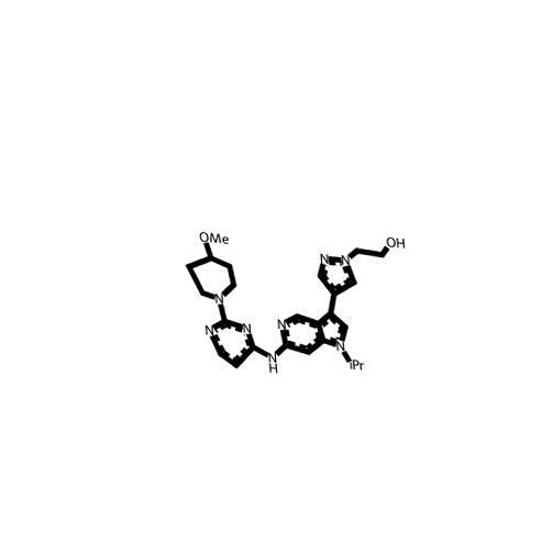 COC1CCN(c2nccc(Nc3cc4c(cn3)c(-c3cnn(CCO)c3)cn4C(C)C)n2)CC1